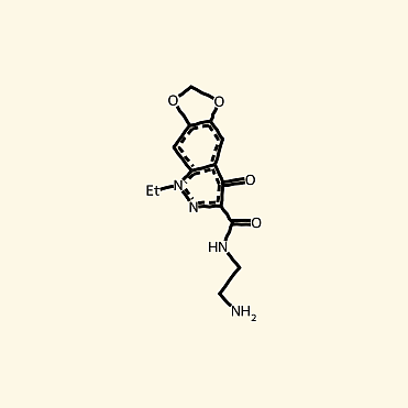 CCn1nc(C(=O)NCCN)c(=O)c2cc3c(cc21)OCO3